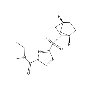 CCN(C)C(=O)n1cnc(S(=O)(=O)[C@@H]2C[C@@H]3CC[C@H]2C3)n1